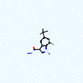 CNC(=O)c1cn(C)c2c(Cl)cc(C(C)(C)C)cc12